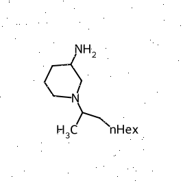 CCCCCCCC(C)N1CCCC(N)C1